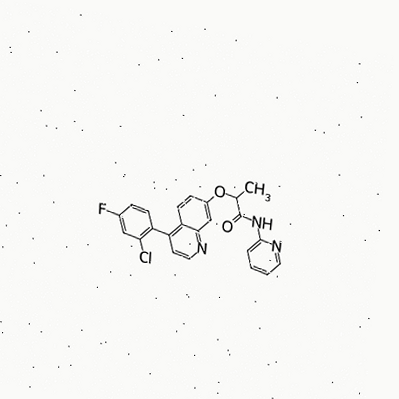 CC(Oc1ccc2c(-c3ccc(F)cc3Cl)ccnc2c1)C(=O)Nc1ccccn1